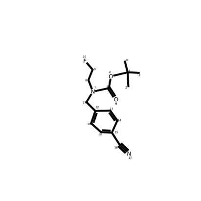 CC(C)(C)OC(=O)N(CCF)Cc1ccc(C#N)cc1